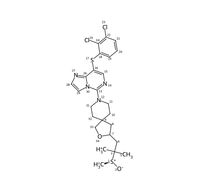 C[S@+]([O-])C(C)(C)CC1CC2(CCN(c3ncc(Sc4cccc(Cl)c4Cl)c4nccn34)CC2)CO1